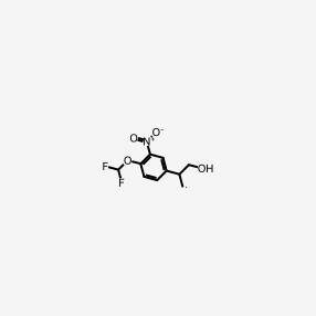 [CH2]C(CO)c1ccc(OC(F)F)c([N+](=O)[O-])c1